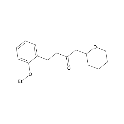 CCOc1ccccc1CCC(=O)CC1CCCCO1